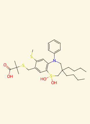 CCCCC1(CCCC)CN(c2ccccc2)c2cc(SC)c(CSC(C)(C)C(=O)O)cc2S(O)(O)C1